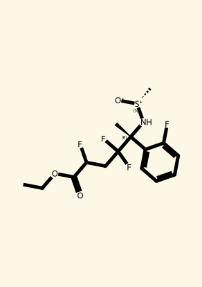 CCOC(=O)C(F)CC(F)(F)[C@](C)(N[S@@+](C)[O-])c1ccccc1F